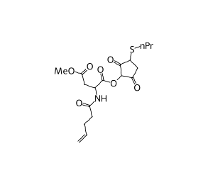 C=CCCC(=O)NC(CC(=O)OC)C(=O)OC1C(=O)CC(SCCC)C1=O